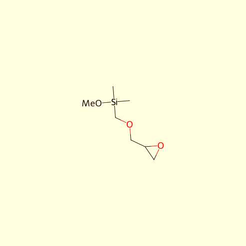 CO[Si](C)(C)COCC1CO1